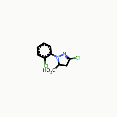 O=C(O)C1CC(Cl)=NN1c1ccccc1Cl